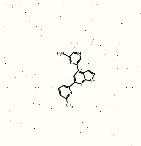 Cc1cccc(-c2cc(-c3cncc(N)c3)c3cc[nH]c3n2)n1